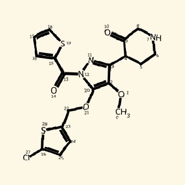 COc1c(C2CCNCC2=O)nn(C(=O)c2cccs2)c1OCc1ccc(Cl)s1